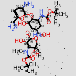 CN(C(=O)OC(C)(C)C)[C@@H]1[C@@H](O)[C@@H](O[C@H]2[C@H](NO)C[C@H](NC(=O)OC(C)(C)C)C(O[C@H]3OC(CN)=CC[C@H]3N)[C@@H]2O)OC[C@]1(C)O